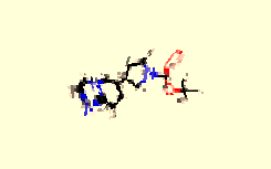 CC(C)(C)OC(=O)N1CCC(c2ccc3nccn3c2)C1